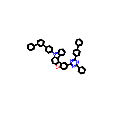 C1=CC2C(c3ccccc3N2c2ccc(-c3cccc(-c4ccccc4)c3)cc2)c2c1oc1ccc(-c3nc(-c4ccccc4)nc(-c4ccc(-c5ccccc5)cc4)n3)cc21